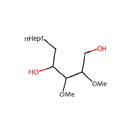 CCCCCCCCC(O)C(OC)C(CO)OC